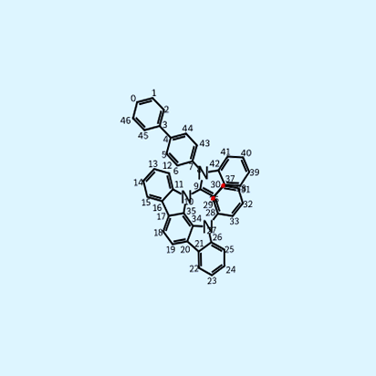 c1ccc(-c2ccc(-n3c(-n4c5ccccc5c5ccc6c7ccccc7n(-c7ccccc7)c6c54)cc4ccccc43)cc2)cc1